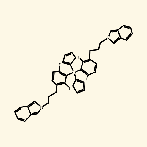 Fc1ccc(CCCn2cc3ccccc3c2)c(F)[c]1[Ti]([C]1=CC=CC1)([C]1=CC=CC1)[c]1c(F)ccc(CCCn2cc3ccccc3c2)c1F